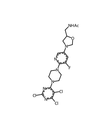 CC(=O)NCC1CN(c2cnc(N3CCN(c4nc(Cl)nc(Cl)c4Cl)CC3)c(F)c2)CO1